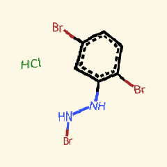 BrNNc1cc(Br)ccc1Br.Cl